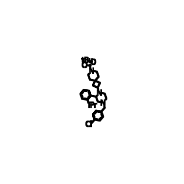 CC(C)c1ccccc1C1CN(Cc2ccc(Cl)cc2)CCN1C1CC2(CCN(C(=O)OC(C)(C)C)CC2)C1